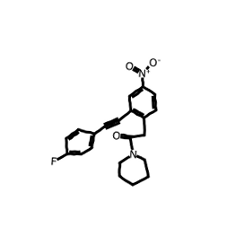 O=C(Cc1ccc([N+](=O)[O-])cc1C#Cc1ccc(F)cc1)N1CCCCC1